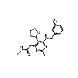 Cc1nc(CC(=O)NC(C)C)c(C2OCCO2)c(NCc2cccc(C(F)(F)F)c2)n1